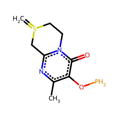 C=S1CCn2c(nc(C)c(OP)c2=O)C1